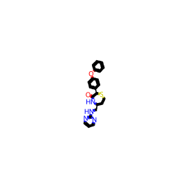 O=C1N[C@H](CNc2ncccn2)CCS[C@@H]1c1ccc(Oc2ccccc2)cc1